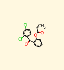 C=CC(=O)Oc1ccccc1C(=O)c1ccc(Cl)cc1Cl